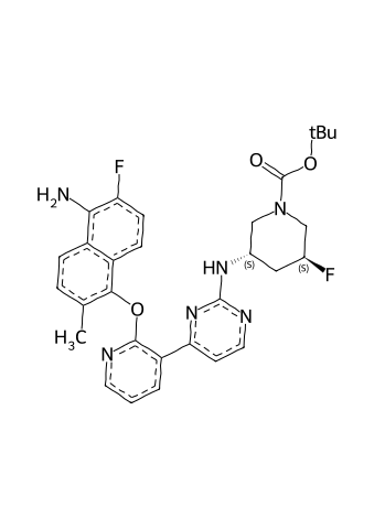 Cc1ccc2c(N)c(F)ccc2c1Oc1ncccc1-c1ccnc(N[C@H]2C[C@H](F)CN(C(=O)OC(C)(C)C)C2)n1